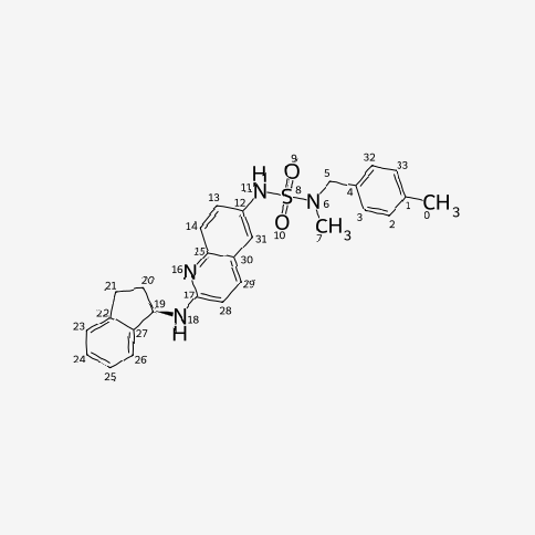 Cc1ccc(CN(C)S(=O)(=O)Nc2ccc3nc(N[C@@H]4CCc5ccccc54)ccc3c2)cc1